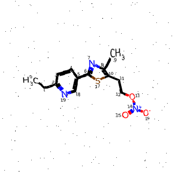 CCc1ccc(-c2nc(C)c(CCO[N+](=O)[O-])s2)cn1